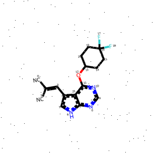 N#CC(C#N)=Cc1c[nH]c2ncnc(OC3CCC(F)(F)CC3)c12